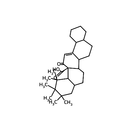 CC1(C)CC2CCC3C4CCC5CCCCC5C4=CC(=O)C3(C(=O)O)C2C(C)(C)C1(C)C